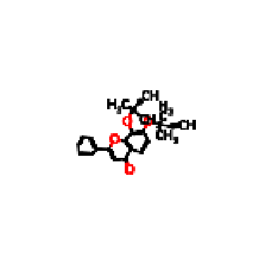 C#CC(C)(C)Oc1ccc2c(=O)cc(-c3ccccc3)oc2c1OC(C)(C)C#C